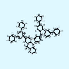 CC1(C)c2ccccc2-n2c3ccc(-n4c5ccc(-c6ccccc6)cc5c5cc(-c6ccccc6)ccc54)cc3c3cc(-c4nc(-c5ccccc5)nc(-c5ccccc5)n4)cc1c32